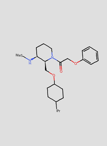 CSN[C@H]1CCCN(C(=O)COc2ccccc2)[C@H]1COC1CCC(C(C)C)CC1